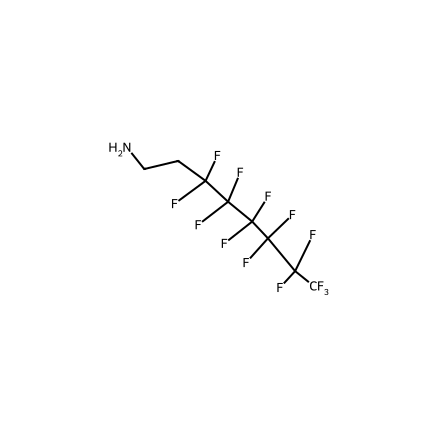 NCCC(F)(F)C(F)(F)C(F)(F)C(F)(F)C(F)(F)C(F)(F)F